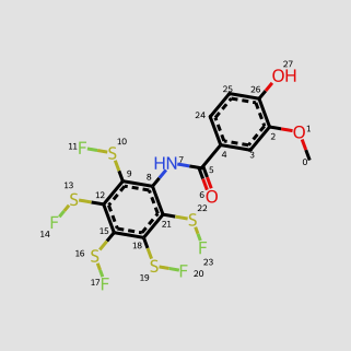 COc1cc(C(=O)Nc2c(SF)c(SF)c(SF)c(SF)c2SF)ccc1O